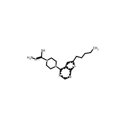 CCCCCc1cc2c(N3CCN(/C(S)=N/N)CC3)ncnc2s1